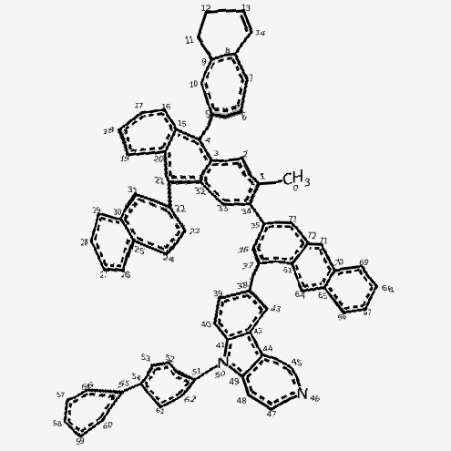 Cc1cc2c(-c3ccc4c(c3)CCC=C4)c3ccccc3c(-c3ccc4ccccc4c3)c2cc1-c1cc(-c2ccc3c(c2)c2cnccc2n3-c2ccc(-c3ccccc3)cc2)c2cc3ccccc3cc2c1